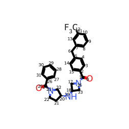 O=C(c1ccc(Cc2cccc(C(F)(F)F)c2)cc1)N1CC(N[C@H]2CCN(C(=O)c3ccccc3)C2)C1